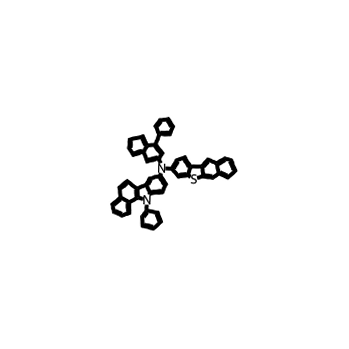 c1ccc(-c2cc(N(c3ccc4c(c3)sc3cc5ccccc5cc34)c3ccc4c(c3)c3ccc5ccccc5c3n4-c3ccccc3)cc3ccccc23)cc1